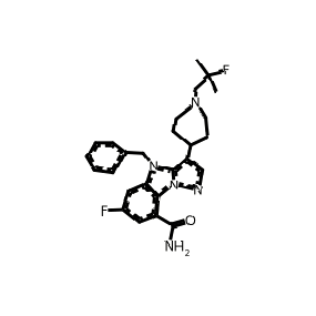 CC(C)(F)CN1CCC(c2cnn3c4c(C(N)=O)cc(F)cc4n(Cc4ccccc4)c23)CC1